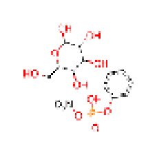 O=[N+]([O-])OP(=O)(O)Oc1ccccc1.OC[C@H]1O[C@@H](O)[C@H](O)[C@@H](O)[C@H]1O